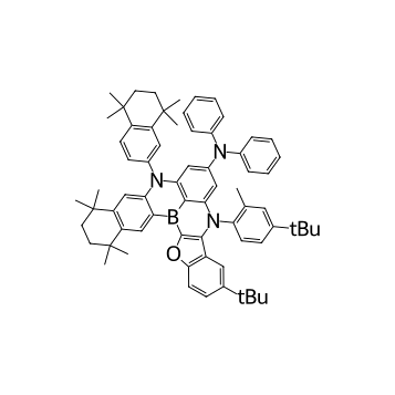 Cc1cc(C(C)(C)C)ccc1N1c2cc(N(c3ccccc3)c3ccccc3)cc3c2B(c2cc4c(cc2N3c2ccc3c(c2)C(C)(C)CCC3(C)C)C(C)(C)CCC4(C)C)c2oc3ccc(C(C)(C)C)cc3c21